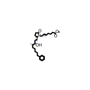 COC(=O)CCC/C=C/CN1C(=O)CC[C@@H]1/C=C/[C@@H](O)[C@@H](C)CCCCCc1ccccc1